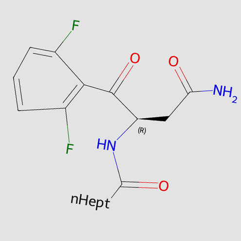 CCCCCCCC(=O)N[C@H](CC(N)=O)C(=O)c1c(F)cccc1F